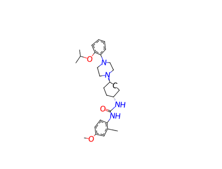 COc1ccc(NC(=O)N[C@H]2CC[C@H](N3CCN(c4ccccc4OC(C)C)CC3)CC2)c(C)c1